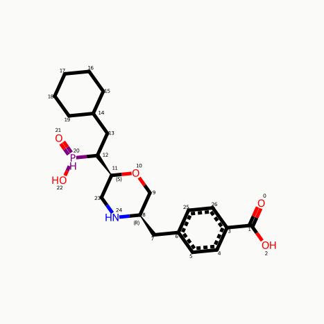 O=C(O)c1ccc(C[C@@H]2CO[C@H](C(CC3CCCCC3)[PH](=O)O)CN2)cc1